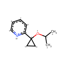 CC(C)OC1(c2ccccn2)CC1